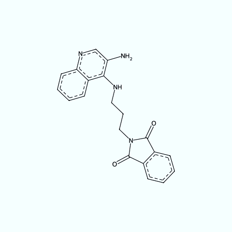 Nc1cnc2ccccc2c1NCCCN1C(=O)c2ccccc2C1=O